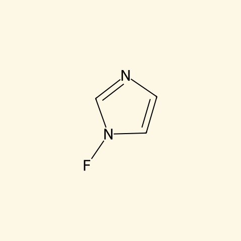 Fn1ccnc1